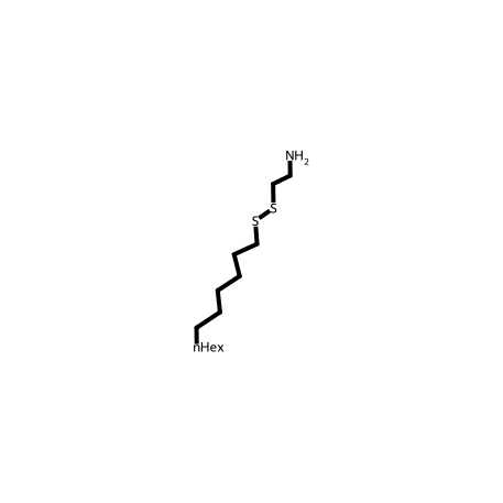 CCCCCCCCCCCCSSCCN